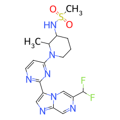 CC1C(NS(C)(=O)=O)CCCN1c1ccnc(-c2cnc3cnc(C(F)F)cn23)n1